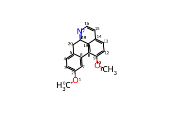 COc1ccc2c(c1)-c1c(OC)ccc3ccnc(c13)C2